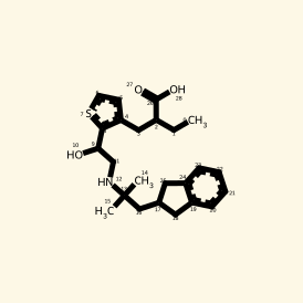 CCC(Cc1ccsc1C(O)CNC(C)(C)CC1Cc2ccccc2C1)C(=O)O